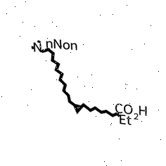 CCCCCCCCCC(CCCCCCCCCCC1CC1CCCCCCC(CC)C(=O)O)CN(C)C